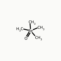 [CH3][Re]([CH3])([CH3])([CH3])=[O]